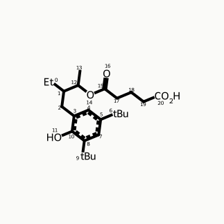 CCC(Cc1cc(C(C)(C)C)cc(C(C)(C)C)c1O)C(C)OC(=O)CCCC(=O)O